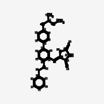 COC(C)Oc1ccc(-c2ccc(OCc3ccccc3)c(C=C3SC(=S)NC3=O)c2)cc1